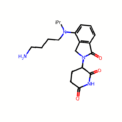 CC(C)N(CCCCN)c1cccc2c1CN(C1CCC(=O)NC1=O)C2=O